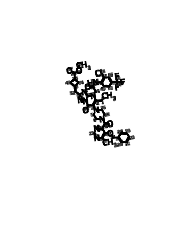 CCc1c(N2CCN(C(=O)c3ncnc(C)c3OCc3ccccc3)CC2)c(=O)n2nc(C=C3CC(C(=O)OC)C3)nc2n1CC(=O)Nc1ccc(C(F)(F)F)cc1Cl